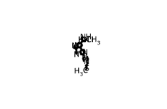 CN/C=C(\C=N)c1cc(-c2ccc(N3CCN(CCSC)CC3)nc2)c2c(C#N)cnn2c1